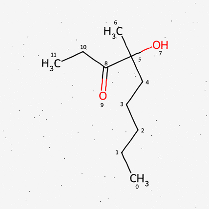 CCCCCC(C)(O)C(=O)CC